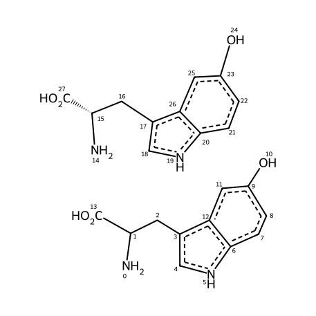 NC(Cc1c[nH]c2ccc(O)cc12)C(=O)O.N[C@@H](Cc1c[nH]c2ccc(O)cc12)C(=O)O